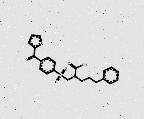 O=C(c1ccc(S(=O)(=O)CC(CCCc2ccccc2)C(=O)O)cc1)c1cccs1